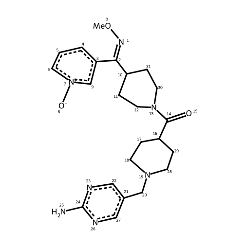 CO/N=C(\c1ccc[n+]([O-])c1)C1CCN(C(=O)C2CCN(Cc3cnc(N)nc3)CC2)CC1